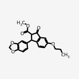 CCCOc1ccc2c(c1)C(=O)C(C(=O)OC)C2c1ccc2c(c1)OCO2